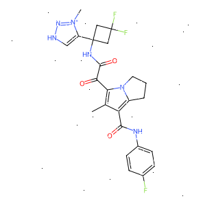 Cc1c(C(=O)Nc2ccc(F)cc2)c2n(c1C(=O)C(=O)NC1(c3c[nH]n[n+]3C)CC(F)(F)C1)CCC2